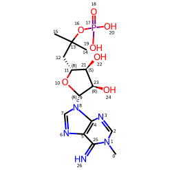 Cn1cnc2c(ncn2[C@@H]2O[C@H](CC(C)(C)OP(=O)(O)O)[C@@H](O)[C@H]2O)c1=N